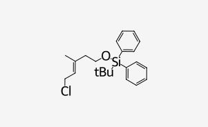 CC(=CCCl)CCO[Si](c1ccccc1)(c1ccccc1)C(C)(C)C